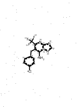 Nc1c(Cc2ccc(Cl)cc2)c(C(F)(F)F)nc2ncnn12